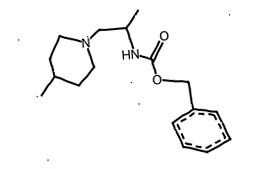 [CH2]C1CCN(CC(C)NC(=O)OCc2ccccc2)CC1